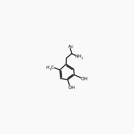 CC(=O)C(N)Cc1cc(O)c(O)cc1C